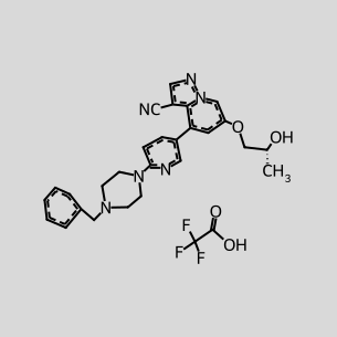 C[C@@H](O)COc1cc(-c2ccc(N3CCN(Cc4ccccc4)CC3)nc2)c2c(C#N)cnn2c1.O=C(O)C(F)(F)F